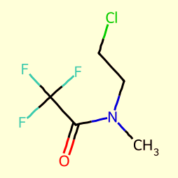 CN(CCCl)C(=O)C(F)(F)F